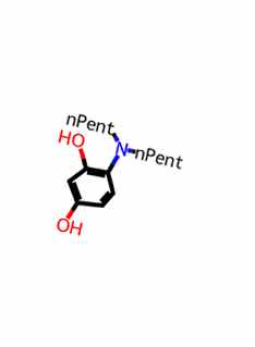 CCCCCN(CCCCC)c1ccc(O)cc1O